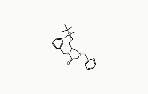 CC(C)(C)[Si](C)(C)OCC1CN(Cc2ccccc2)CC(=O)N1Cc1ccccc1